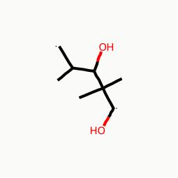 [CH2]C(C)C(O)C(C)(C)[CH]O